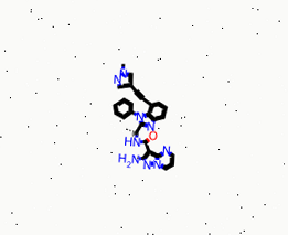 C[C@@H](NC(=O)c1c(N)nn2cccnc12)c1nc2cccc(C#Cc3cnn(C)c3)c2n1-c1ccccc1